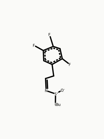 CC(C)(C)[S+]([O-])/N=C\Cc1cc(F)c(F)cc1F